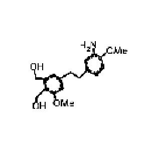 COc1ccc(CCc2cc(CO)c(CO)c(OC)c2)cc1N